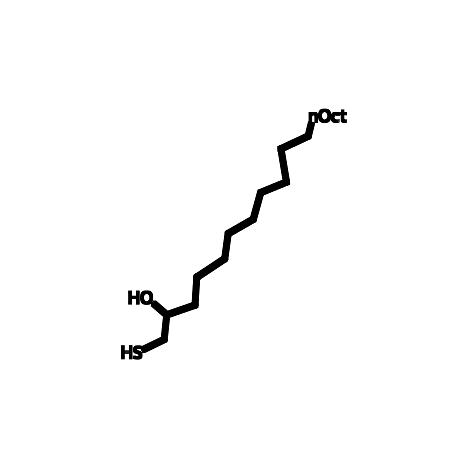 CCCCCCCCCCCCCCCCCC(O)CS